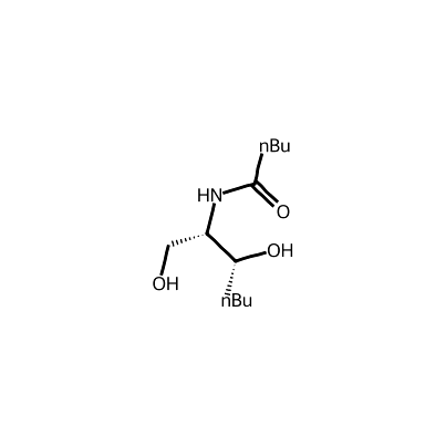 CCCCC(=O)N[C@@H](CO)[C@H](O)CCCC